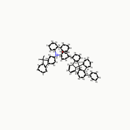 CC1(C)c2ccccc2-c2ccc(N(c3ccc(-c4cccc5c4C4C=CC=CC4C54c5ccccc5-c5c(-c6ccccc6)cccc54)cc3)c3ccccc3-c3ccccc3)cc21